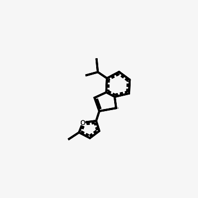 Cc1ccc(C2=Cc3c(cccc3C(C)C)[CH]2)o1